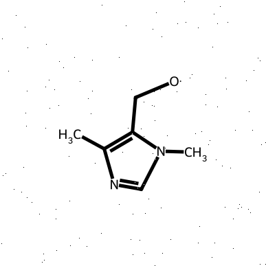 Cc1ncn(C)c1C[O]